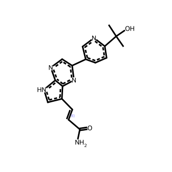 CC(C)(O)c1ccc(-c2cnc3[nH]cc(/C=C/C(N)=O)c3n2)cn1